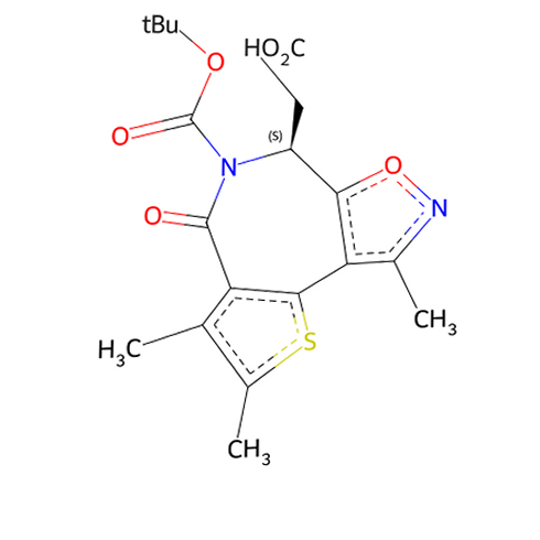 Cc1noc2c1-c1sc(C)c(C)c1C(=O)N(C(=O)OC(C)(C)C)[C@H]2CC(=O)O